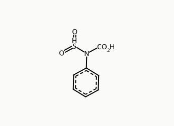 O=C(O)N(c1ccccc1)[SH](=O)=O